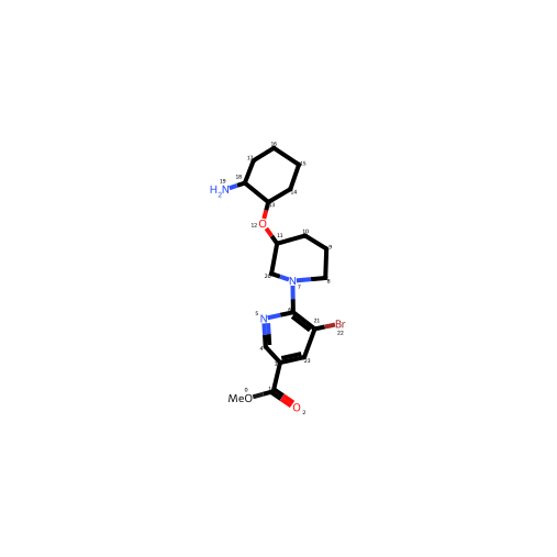 COC(=O)c1cnc(N2CCCC(OC3CCCCC3N)C2)c(Br)c1